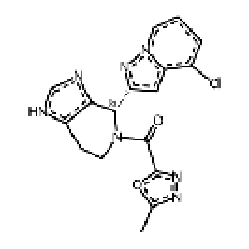 Cc1nnc(C(=O)N2CCc3[nH]cnc3[C@@H]2c2cc3c(Cl)cccn3n2)o1